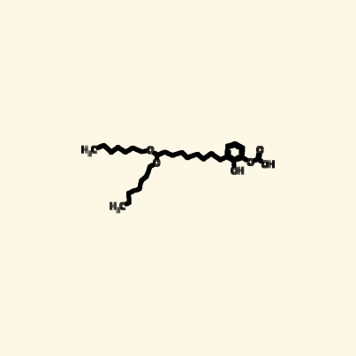 CCCCCCCOC(CCCCCCCCc1cccc(OC(=O)O)c1O)OCCCCCCC